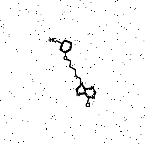 [CH]c1cccc(OCCCCCn2cnc3c(Cl)ncnc32)c1